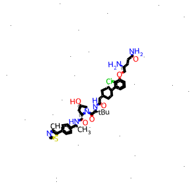 Cc1ncsc1-c1ccc([C@H](C)NC(=O)[C@@H]2C[C@@H](O)CN2C(=O)[C@@H](NC(=O)CC2CCC(c3cccc(OC[C@@H](N)CCC(N)=O)c3Cl)CC2)C(C)(C)C)cc1